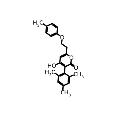 Cc1ccc(OCCc2cc(O)c(-c3c(C)cc(C)cc3C)c(=O)o2)cc1